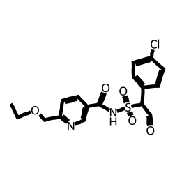 CCOCc1ccc(C(=O)NS(=O)(=O)C(C=O)c2ccc(Cl)cc2)cn1